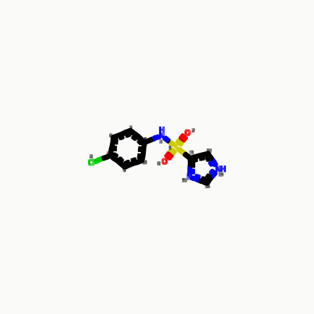 O=S(=O)(Nc1ccc(Cl)cc1)c1c[nH]cn1